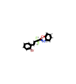 FC(F)(C=Cc1ccccc1Br)c1nc2ccccc2o1